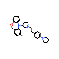 Clc1ccc2c(c1)N(C1CCN(CCc3ccc(N4CCCC4)cc3)C1)c1ccccc1OC2